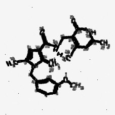 COc1cccc(Cn2c(C)cc(C(=O)NCc3c(C)cc(C)[nH]c3=O)c2C)c1